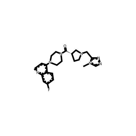 Cn1cnnc1CN1CC[C@H](C(=O)N2CCN(c3ccnc4cc(F)ccc34)CC2)C1